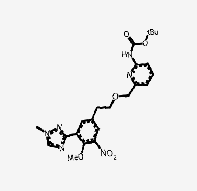 COc1c(-c2ncn(C)n2)cc(CCOCc2cccc(NC(=O)OC(C)(C)C)n2)cc1[N+](=O)[O-]